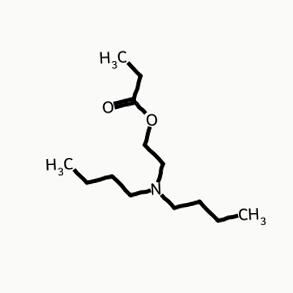 CCCCN(CCCC)CCOC(=O)CC